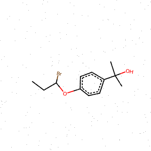 CCC(Br)Oc1ccc(C(C)(C)O)cc1